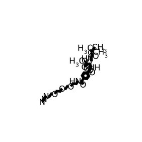 COC(=O)[C@H](CNC(=O)OC(C)(C)C)NS(=O)(=O)c1ccc(C(=O)NCCOCCOCCOCCN=[N+]=[N-])cc1